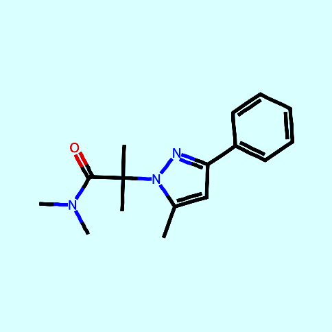 Cc1cc(-c2ccccc2)nn1C(C)(C)C(=O)N(C)C